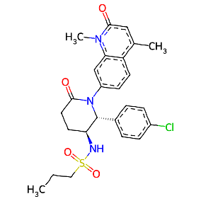 CCCS(=O)(=O)N[C@H]1CCC(=O)N(c2ccc3c(C)cc(=O)n(C)c3c2)[C@@H]1c1ccc(Cl)cc1